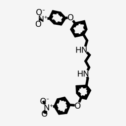 O=[N+]([O-])c1ccc(Oc2ccc(CNCCCNCc3ccc(Oc4ccc([N+](=O)[O-])cc4)cc3)cc2)cc1